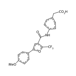 COc1ccc(-c2cc(C(=O)Nc3ccc(CC(=O)O)cc3)c(C(F)(F)F)o2)cc1